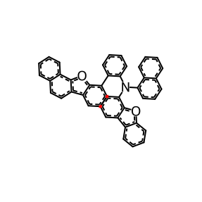 c1ccc(N(c2cccc3ccccc23)c2cccc3c2oc2ccccc23)c(-c2cccc3c2oc2c4ccccc4ccc32)c1